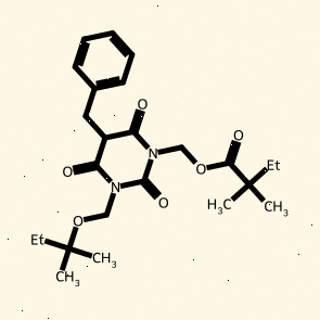 CCC(C)(C)OCN1C(=O)C(Cc2ccccc2)C(=O)N(COC(=O)C(C)(C)CC)C1=O